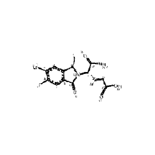 C[C@@H]1c2cc(Br)c(F)cc2C(=O)N1[C@@H](CCC(=O)O)C(N)=O